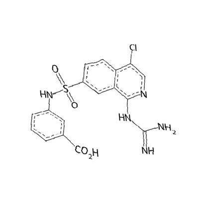 N=C(N)Nc1ncc(Cl)c2ccc(S(=O)(=O)Nc3cccc(C(=O)O)c3)cc12